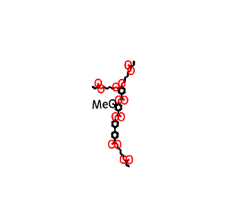 C=CC(=O)OCCCCOC(=O)c1ccc(-c2ccc(OC(=O)c3ccc(OC(=O)c4ccc(OCCCCOC(=O)C=C)c(OCCCCOC(=O)C=C)c4)c(OC)c3)cc2)cc1